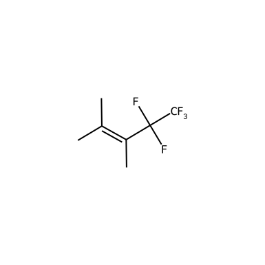 CC(C)=C(C)C(F)(F)C(F)(F)F